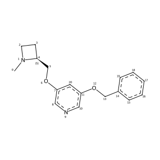 CN1CC[C@H]1COc1cncc(OCc2ccccc2)c1